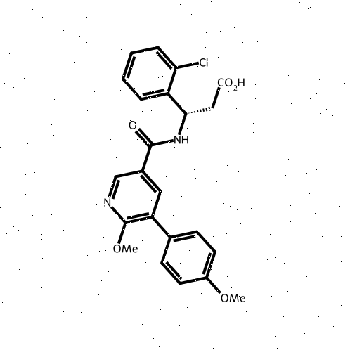 COc1ccc(-c2cc(C(=O)N[C@@H](CC(=O)O)c3ccccc3Cl)cnc2OC)cc1